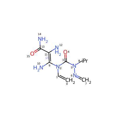 C=CN(C(=O)N(N=C)C(C)C)/C(N)=C(\N)C(N)=O